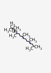 C/C(=C\CC(C)C)CC/C=C(\C)CC/C(C)=N/OC(C)(C)C